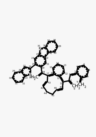 C=C(/C=c1/ccccc1=C)C1=c2\cccc\c2=C(C(=C)c2cc3c(cc2-c2cc4ccccc4s2)sc2ccccc23)\C=C\CC\C=C\1